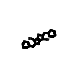 Brc1c(Cc2ccccc2)sc2c(Br)c(CC3C=CC=CC3)sc12